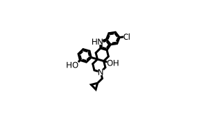 Oc1cccc(C23CCN(CC4CC4)CC2(O)Cc2c([nH]c4ccc(Cl)cc24)C3)c1